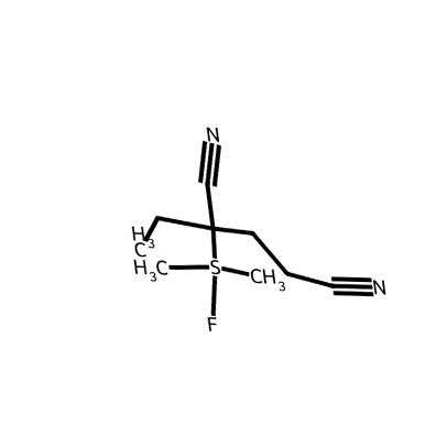 CCC(C#N)(CCC#N)S(C)(C)F